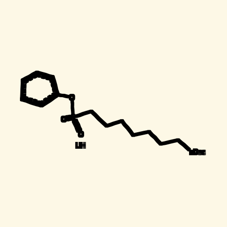 CCCCCCCCCCCCCCCCCS(=O)(=O)Oc1ccccc1.[LiH]